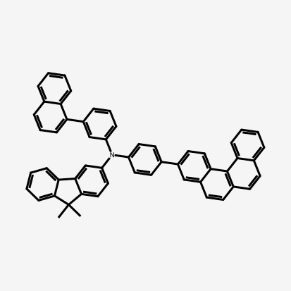 CC1(C)c2ccccc2-c2cc(N(c3ccc(-c4ccc5c(ccc6ccc7ccccc7c65)c4)cc3)c3cccc(-c4cccc5ccccc45)c3)ccc21